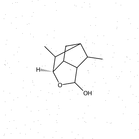 CC1C2CC3C1C(O)O[C@H]3C2C